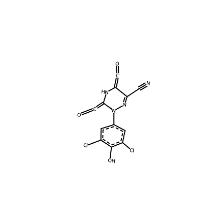 N#CC1=NN(c2cc(Cl)c(O)c(Cl)c2)C(=C=O)NC1=C=O